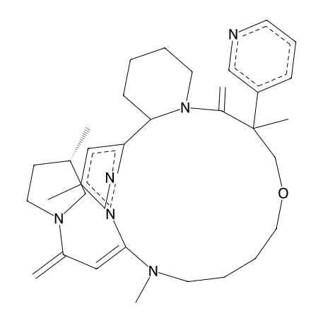 C=C(/C=C1/N(C)CCCCOCC(C)(c2cccnc2)C(=C)N2CCCCC2c2cc(C)n1n2)N1CC[C@H](C)C1